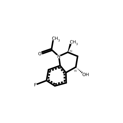 CC(=O)N1c2cc(F)ccc2[C@@H](O)C[C@@H]1C